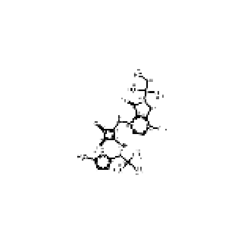 Cc1ccc([C@H](Nc2c(Nc3ccc(Cl)c4c3C(=O)N(C(C)(C)CO)C4)c(=O)c2=O)C(C)(C)C)o1